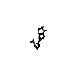 CC(C)n1nc(I)cc1C1C2CC3C(OCC(=O)N3C)C21